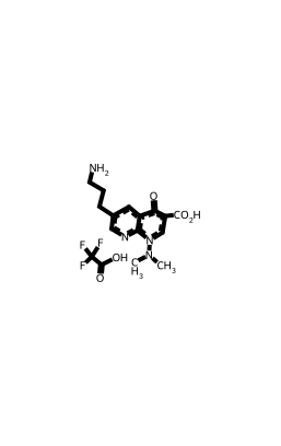 CN(C)n1cc(C(=O)O)c(=O)c2cc(CCCN)cnc21.O=C(O)C(F)(F)F